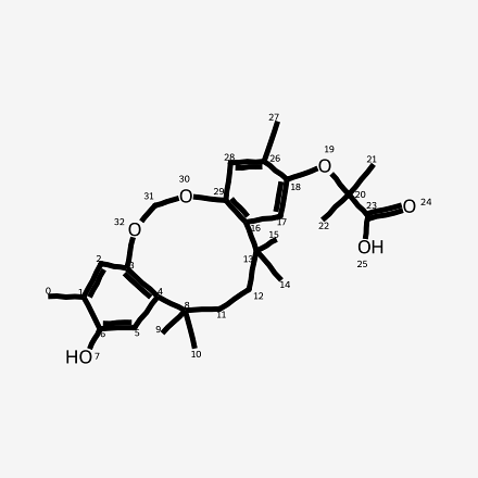 Cc1cc2c(cc1O)C(C)(C)CCC(C)(C)c1cc(OC(C)(C)C(=O)O)c(C)cc1OCO2